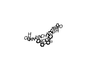 CNc1nc(-c2cccc(-c3cccc(-c4ccn5c(=O)c(CNC[C@@H]6CCC(=O)N6)cnc5c4)c3C)c2Cl)ccc1CNC[C@@H]1CCC(=O)N1